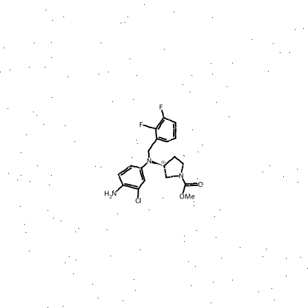 COC(=O)N1CC[C@H](N(Cc2cccc(F)c2F)c2ccc(N)c(Cl)c2)C1